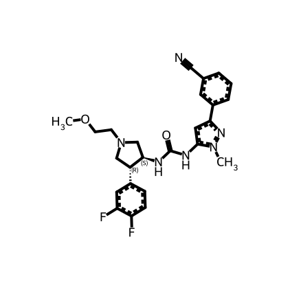 COCCN1C[C@@H](NC(=O)Nc2cc(-c3cccc(C#N)c3)nn2C)[C@H](c2ccc(F)c(F)c2)C1